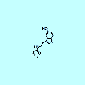 C=CC(=O)NCCc1csc2ccc(O)cc12